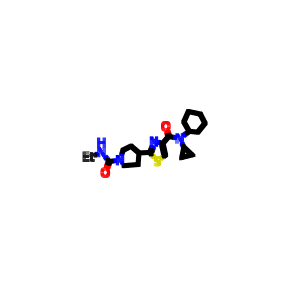 CCNC(=O)N1CCC(c2nc(C(=O)N(C3CCCCC3)C3CC3)cs2)CC1